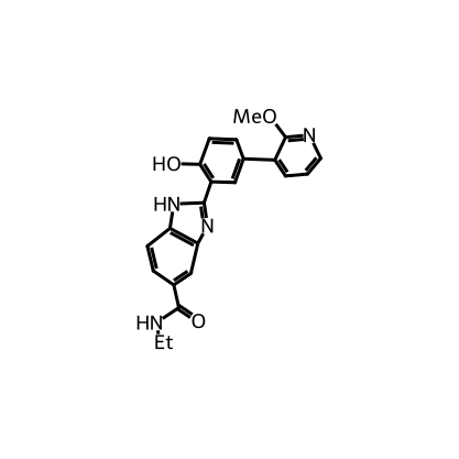 CCNC(=O)c1ccc2[nH]c(-c3cc(-c4cccnc4OC)ccc3O)nc2c1